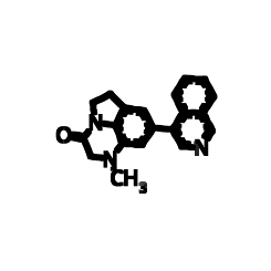 CN1CC(=O)N2CCc3cc(-c4cncc5ccccc45)cc1c32